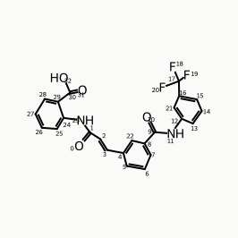 O=C(/C=C/c1cccc(C(=O)Nc2cccc(C(F)(F)F)c2)c1)Nc1ccccc1C(=O)O